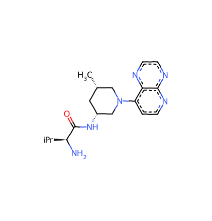 CC(C)[C@H](N)C(=O)N[C@@H]1C[C@H](C)CN(c2ccnc3nccnc23)C1